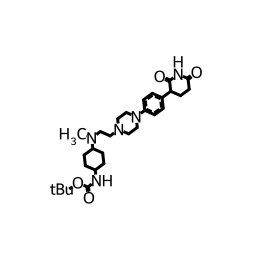 CN(CCN1CCN(c2ccc(C3CCC(=O)NC3=O)cc2)CC1)C1CCC(NC(=O)OC(C)(C)C)CC1